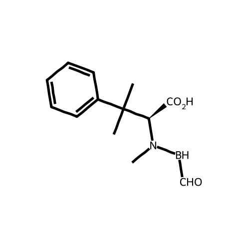 CN(BC=O)[C@H](C(=O)O)C(C)(C)c1ccccc1